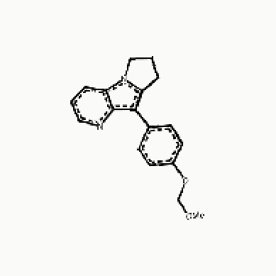 COCOc1ccc(-c2c3n(c4cccnc24)CCC3)cc1